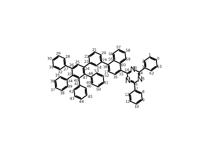 c1ccc(-c2nc(-c3ccccc3)nc(-c3ccc(-c4cccc(-c5cc(-c6ccccc6)c(-c6ccccc6)c(-c6ccccc6)c5-c5ccccc5)c4)c4ccccc34)n2)cc1